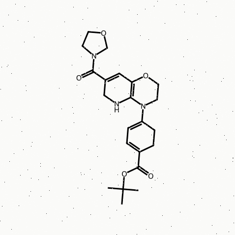 CC(C)(C)OC(=O)C1=CC=C(N2CCOC3=C2NCC(C(=O)N2CCOC2)=C3)CC1